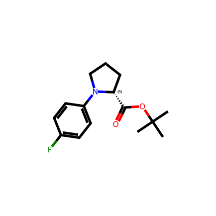 CC(C)(C)OC(=O)[C@H]1CCCN1c1ccc(F)cc1